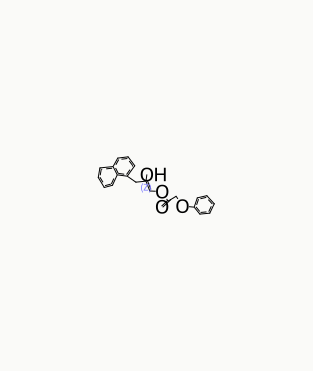 O=C(COc1ccccc1)O/C=C(\O)Cc1cccc2ccccc12